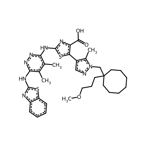 COCCCC1(Cn2ncc(-c3sc(Nc4nnc(Nc5nc6ccccc6s5)c(C)c4C)nc3C(=O)O)c2C)CCCCCCC1